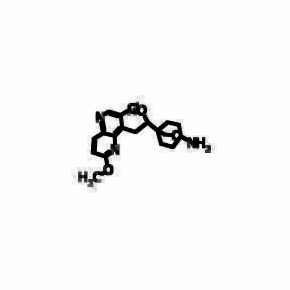 COc1ccc2ncc(Cl)c(CC(O)C34CCC(N)(CC3)CC4)c2n1